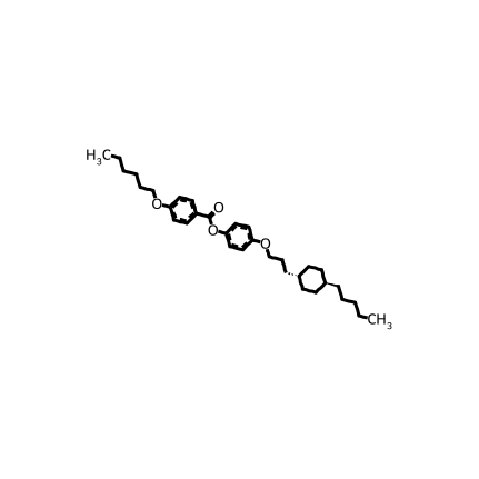 CCCCCCOc1ccc(C(=O)Oc2ccc(OCCC[C@H]3CC[C@H](CCCCC)CC3)cc2)cc1